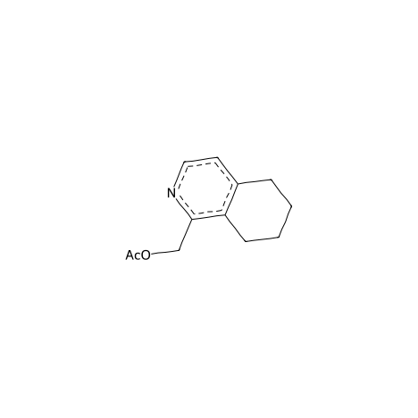 CC(=O)OCc1nccc2c1CCCC2